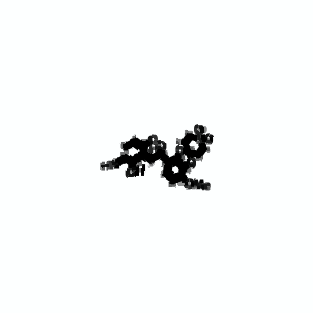 C/C=C(O)\C(CC(=O)c1ccc(OC)c2c1OC1(CCS(=O)(=O)CC1)O2)=C(\O)C=N